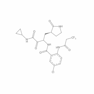 O=C(CC(F)(F)F)Nc1ccc(Cl)cc1C(=O)NC(C[C@@H]1CCNC1=O)C(=O)C(=O)NC1CC1